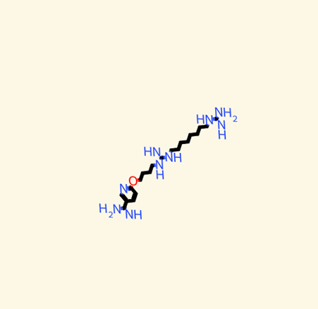 N=C(N)NCCCCCCCCNC(=N)NCCCCOc1ccc(C(=N)N)cn1